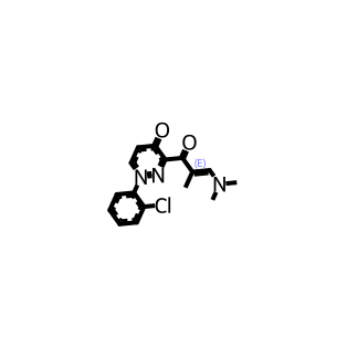 C/C(=C\N(C)C)C(=O)c1nn(-c2ccccc2Cl)ccc1=O